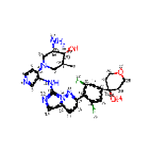 C[C@H]1CN(c2ccncc2Nc2ncc3ccc(-c4c(F)cc(C5(O)CCOCC5)cc4F)nn23)C[C@@H](N)[C@@H]1O